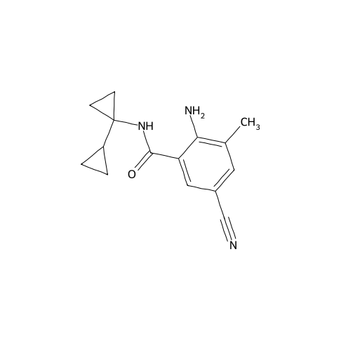 Cc1cc(C#N)cc(C(=O)NC2(C3CC3)CC2)c1N